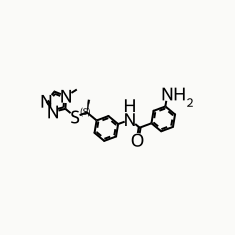 C[C@H](Sc1nncn1C)c1cccc(NC(=O)c2cccc(N)c2)c1